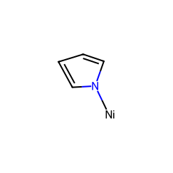 [Ni][n]1cccc1